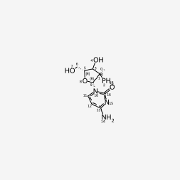 C[C@@]1(P)C(O)[C@@H](CO)O[C@H]1n1ccc(N)nc1=O